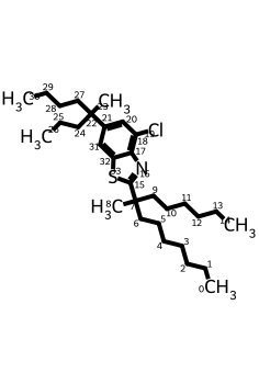 CCCCCCCC(C)(CCCCCC)c1nc2c(Cl)cc(C(C)(CCC)CCCC)cc2s1